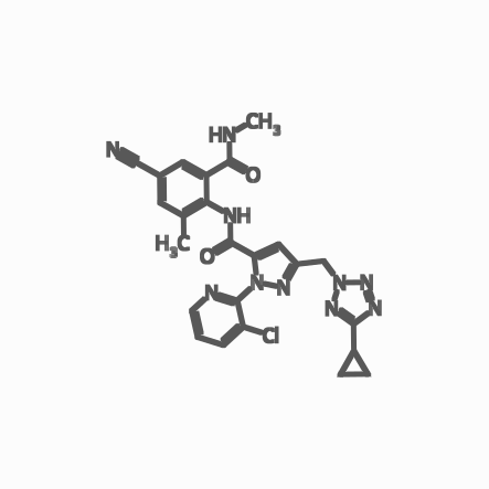 CNC(=O)c1cc(C#N)cc(C)c1NC(=O)c1cc(Cn2nnc(C3CC3)n2)nn1-c1ncccc1Cl